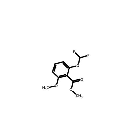 COC(=O)c1c(OC)cccc1OC(F)F